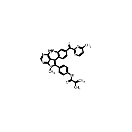 C=C(C)C(=O)Nc1ccc(-c2c(-c3ccc(C(=O)c4nccc(C)n4)cc3C)c3c(N)ncnc3n2C)cc1